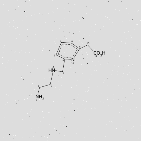 NCCNCc1cccc(CC(=O)O)n1